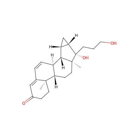 C[C@]12CCC(=O)C=C1C=C[C@H]1[C@@H]3[C@@H]4C[C@@H]4[C@@](O)(CCCO)[C@@]3(C)CC[C@@H]12